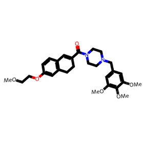 COCCOc1ccc2c(c1)CCC(C(=O)N1CCN(Cc3cc(OC)c(OC)c(OC)c3)CC1)=C2